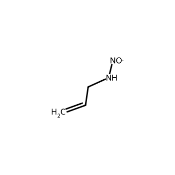 C=CCN[N+]=O